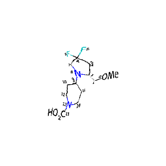 COC[C@H]1CC(F)(F)CN1C1CCN(C(=O)O)CC1